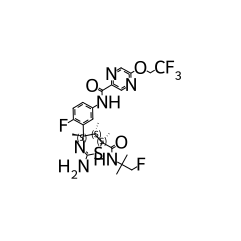 C[C@@H]1[C@@](C)(C(=O)NC(C)(C)CF)SC(N)=N[C@]1(C)c1cc(NC(=O)c2cnc(OCC(F)(F)F)cn2)ccc1F